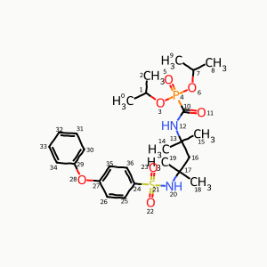 CC(C)OP(=O)(OC(C)C)C(=O)NC(C)(C)CC(C)(C)NS(=O)(=O)c1ccc(Oc2ccccc2)cc1